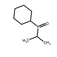 CC(C)[P](=O)C1CCCCC1